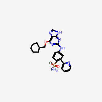 NS(=O)(=O)c1ccc(Nc2nc(OCC3CCCCC3)c3nc[nH]c3n2)cc1-c1ccccn1